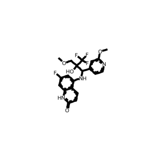 COCC(O)(C(Nc1cc(F)cc2[nH]c(=O)ccc12)c1ccnc(OC)c1)C(F)(F)F